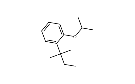 CCC(C)(C)c1ccccc1OC(C)C